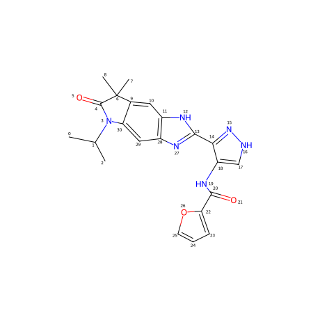 CC(C)N1C(=O)C(C)(C)c2cc3[nH]c(-c4n[nH]cc4NC(=O)c4ccco4)nc3cc21